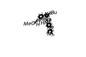 COCCNc1cccc(-n2nc(C(C)(C)C)cc2NC(=O)Nc2ccc(Oc3ccnc(C)c3)cc2F)c1